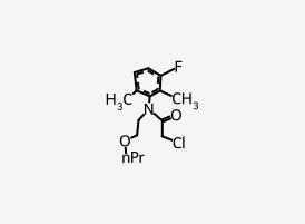 CCCOCCN(C(=O)CCl)c1c(C)ccc(F)c1C